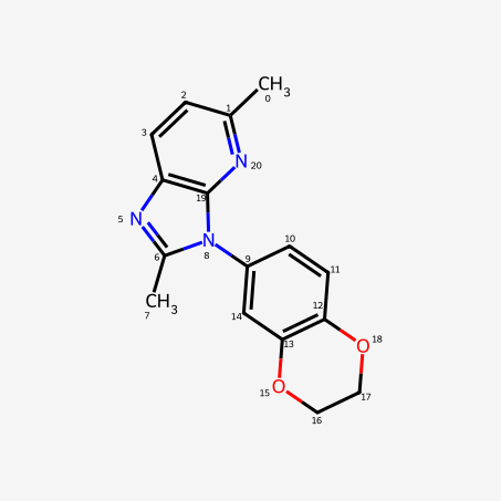 Cc1ccc2nc(C)n(-c3ccc4c(c3)OCCO4)c2n1